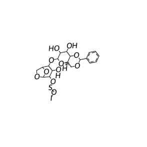 OC1C(OC2C3COC(O3)C(OSOI)C2O)O[C@H]2COC(c3ccccc3)OC2C1O